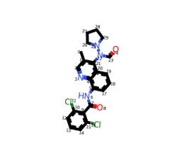 Cc1cnc2c(NC(=O)c3c(Cl)cccc3Cl)cccc2c1N(C=O)N1CCCC1